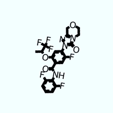 CC(Oc1cc(-n2nc3n(c2=O)CCOC3)c(F)cc1C(=O)Nc1c(F)cccc1F)C(F)(F)F